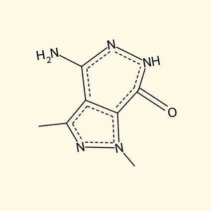 Cc1nn(C)c2c(=O)[nH]nc(N)c12